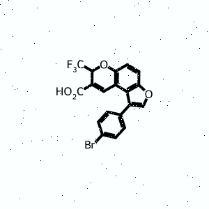 O=C(O)C1=Cc2c(ccc3occ(-c4ccc(Br)cc4)c23)OC1C(F)(F)F